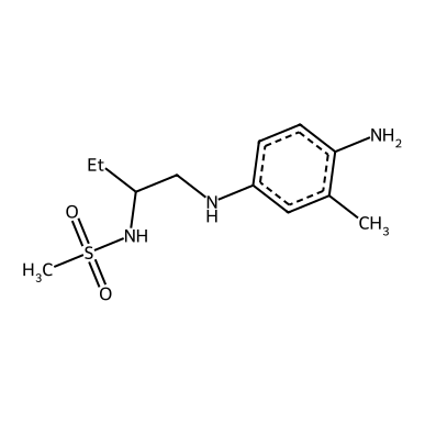 CCC(CNc1ccc(N)c(C)c1)NS(C)(=O)=O